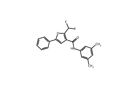 Cc1cc(C)cc(NC(=O)c2cc(-c3ccccc3)oc2C(F)F)c1